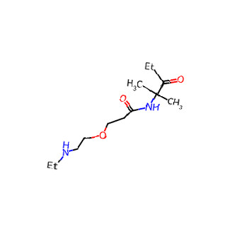 CCNCCOCCC(=O)NC(C)(C)C(=O)CC